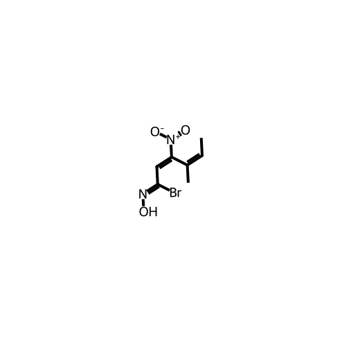 C\C=C(C)/C(=C\C(Br)=N\O)[N+](=O)[O-]